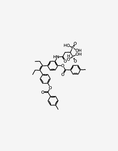 CCC(=C(CC)c1ccc(OC(=O)c2ccc(C)cc2)c(NC(=O)CC(P(=O)(O)O)P(=O)(O)O)c1)c1ccc(OC(=O)c2ccc(C)cc2)cc1